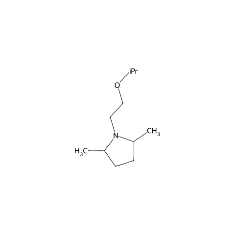 CC(C)OCCN1C(C)CCC1C